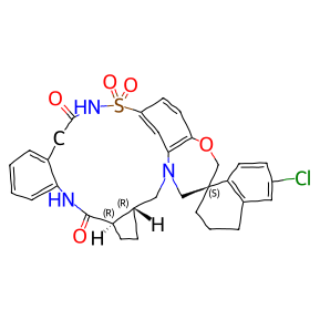 O=C1Cc2ccccc2NC(=O)[C@@H]2CC[C@H]2CN2C[C@@]3(CCCc4cc(Cl)ccc43)COc3ccc(cc32)S(=O)(=O)N1